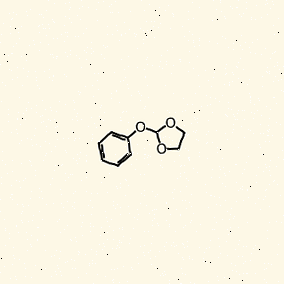 c1ccc(OC2OCCO2)cc1